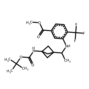 COC(=O)c1ccc(C(F)(F)F)c(NC(C)C23CC(NC(=O)OC(C)(C)C)(C2)C3)c1